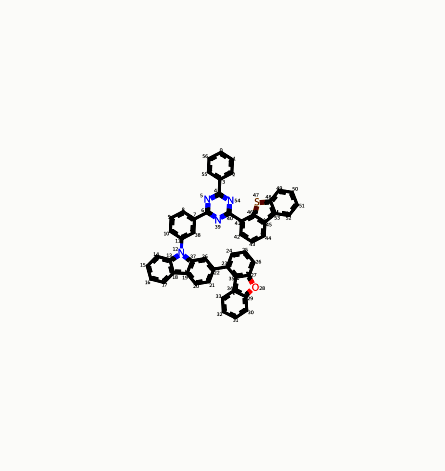 c1ccc(-c2nc(-c3cccc(-n4c5ccccc5c5ccc(-c6cccc7oc8ccccc8c67)cc54)c3)nc(-c3cccc4c3sc3ccccc34)n2)cc1